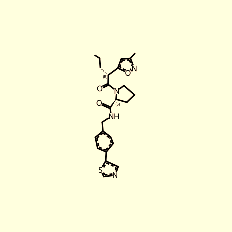 CCC[C@@H](C(=O)N1CCC[C@H]1C(=O)NCc1ccc(-c2cncs2)cc1)c1cc(C)no1